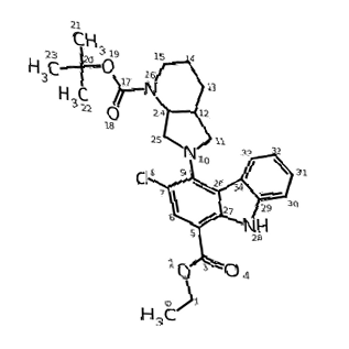 CCOC(=O)c1cc(Cl)c(N2CC3CCCN(C(=O)OC(C)(C)C)C3C2)c2c1[nH]c1ccccc12